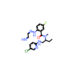 CCC(CNc1ccc(Cl)cn1)N(C)C(=O)c1cc(F)ccc1N/N=C\C=N